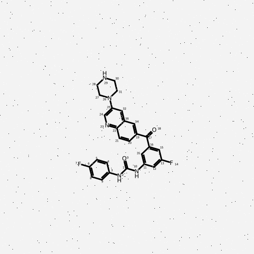 O=C(Nc1ccc(F)cc1)Nc1cc(F)cc(C(=O)c2ccc3ncc(N4CCNCC4)cc3c2)c1